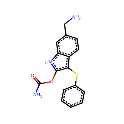 NCc1ccc2c(Sc3ccccc3)c(OC(N)=O)[nH]c2c1